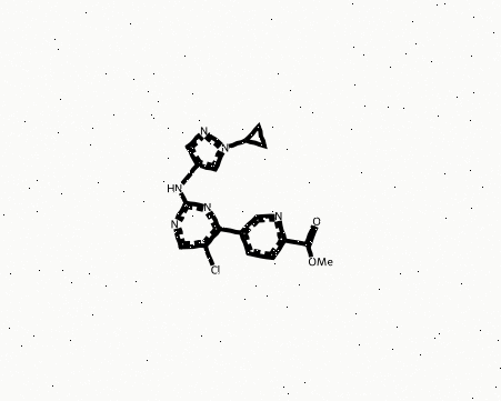 COC(=O)c1ccc(-c2nc(Nc3cnn(C4CC4)c3)ncc2Cl)cn1